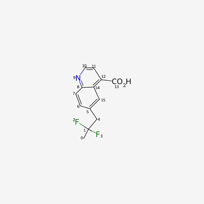 CC(F)(F)Cc1ccc2nccc(C(=O)O)c2c1